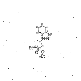 CCOP(=O)(CCn1nnc2ccccc21)OCC